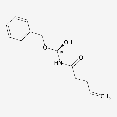 C=CCCC(=O)N[C@H](O)OCc1ccccc1